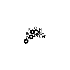 CC(C)(C)OC(=O)NC1CC(=O)c2cc(F)c(Br)cc2N(Cc2ccc(Oc3ccccc3)cc2)C1=O